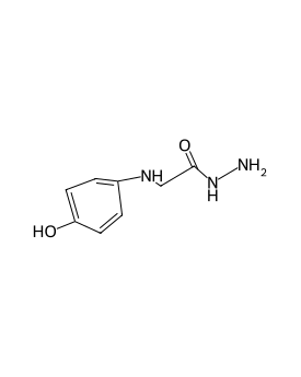 NNC(=O)CNc1ccc(O)cc1